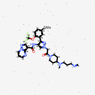 C=NCCCN(C)C1CCN(C(=O)Cn2cc(NC(=O)c3cnn4cccnc34)c(-c3cc(SC)ccc3OC(F)F)n2)CC1